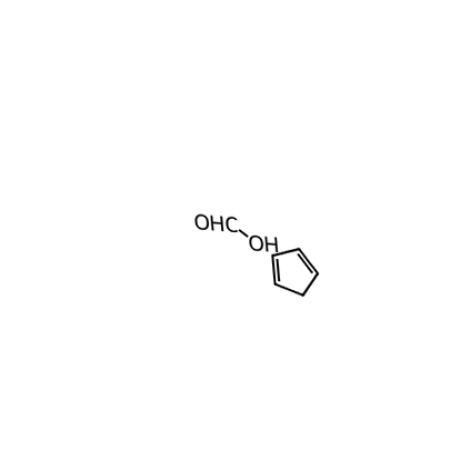 C1=CCC=C1.O=CO